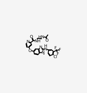 CC(=O)NCCNC(=O)c1cc(Oc2ccc3c(c2)nc(Nc2ccc(Cl)c(C(F)(F)F)c2)n3C)ccn1